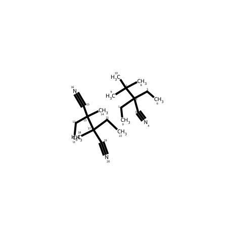 CCC(C#N)(CC)C(C)(C)C.CCC(C)(C#N)C(C)(C#N)CC